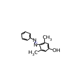 Cc1cc(O)cc(C)c1/N=N/c1ccccc1